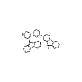 CC1(C)c2ccccc2-c2ccc(-c3ccccc3-c3cccc4c5ccccc5n(-c5cccnc5)c34)cc21